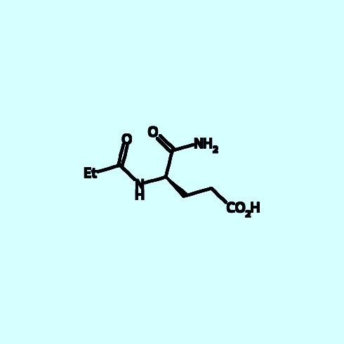 CCC(=O)N[C@H](CCC(=O)O)C(N)=O